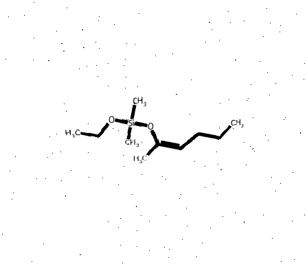 CCCC=C(C)O[Si](C)(C)OCC